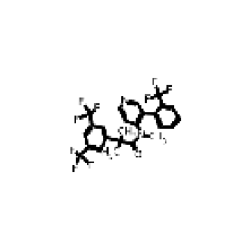 CN(C(=O)C(C)(C)c1cc(C(F)(F)F)cc(C(F)(F)F)c1)c1ccncc1-c1ccccc1C(F)(F)F